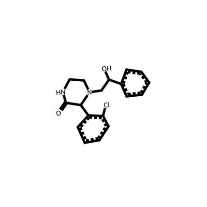 O=C1NCCN(CC(O)c2ccccc2)C1c1ccccc1Cl